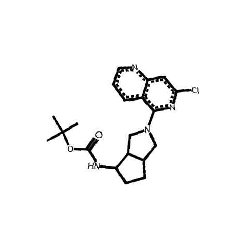 CC(C)(C)OC(=O)NC1CCC2CN(c3nc(Cl)cc4ncccc34)CC21